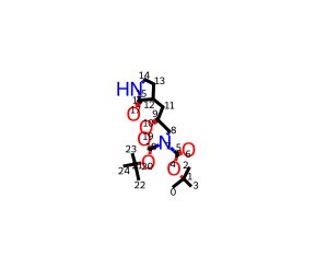 CC(C)(C)OC(=O)N(CC(=O)CC1CCNC1=O)C(=O)OC(C)(C)C